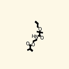 C=CCOC(C)(C)C(=O)NCCOC(=O)C(=C)C